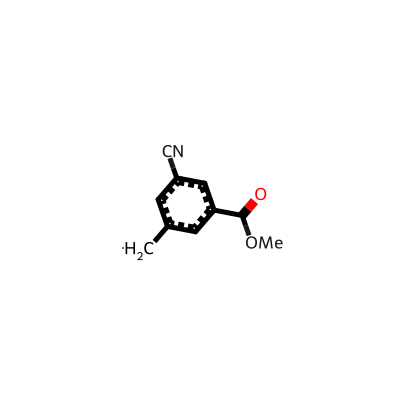 [CH2]c1cc(C#N)cc(C(=O)OC)c1